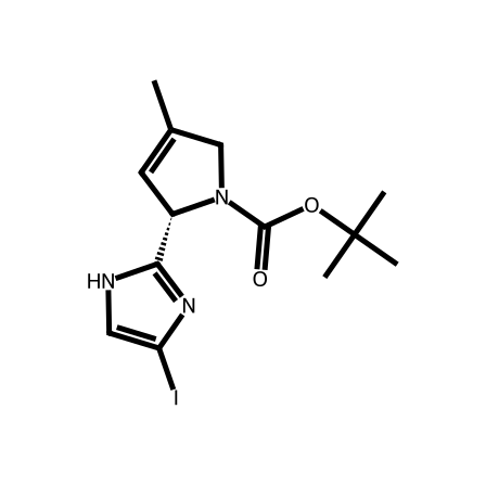 CC1=C[C@@H](c2nc(I)c[nH]2)N(C(=O)OC(C)(C)C)C1